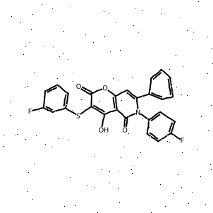 O=c1oc2cc(-c3ccccc3)n(-c3ccc(F)cc3)c(=O)c2c(O)c1Sc1cccc(F)c1